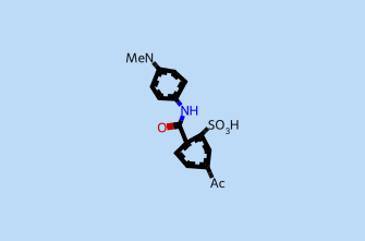 CNc1ccc(NC(=O)c2ccc(C(C)=O)cc2S(=O)(=O)O)cc1